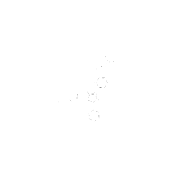 CC(C)NC(=O)Cn1c(-c2cccc(Cl)c2)nn(-c2ccc(C[C@@H](C)N3C4CCC3COC4)cn2)c1=O